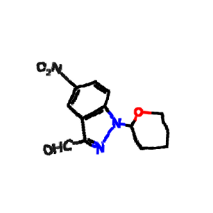 O=Cc1nn(C2CCCCO2)c2ccc([N+](=O)[O-])cc12